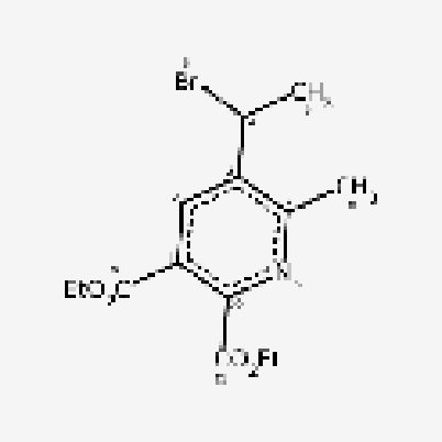 CCOC(=O)c1cc(C(C)Br)c(C)nc1C(=O)OCC